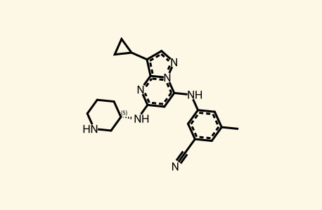 Cc1cc(C#N)cc(Nc2cc(N[C@H]3CCCNC3)nc3c(C4CC4)cnn23)c1